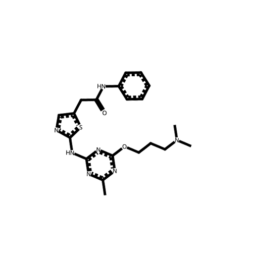 Cc1nc(Nc2ncc(CC(=O)Nc3ccccc3)s2)nc(OCCCN(C)C)n1